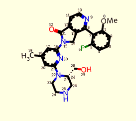 COc1cccc(F)c1-c1nccc2c1CN(c1cc(C)cc(N3CCNC[C@H]3CO)n1)C2=O